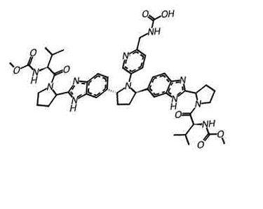 COC(=O)N[C@H](C(=O)N1CCCC1c1nc2ccc([C@H]3CC[C@H](c4ccc5nc(C6CCCN6C(=O)[C@@H](NC(=O)OC)C(C)C)[nH]c5c4)N3c3ccc(CNC(=O)O)nc3)cc2[nH]1)C(C)C